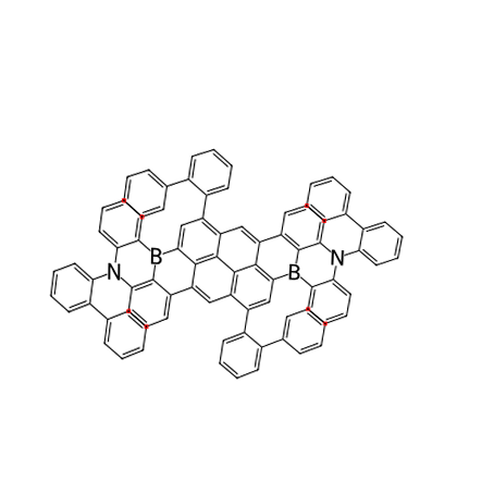 c1ccc(-c2ccccc2-c2cc3c4c(cc5c(-c6ccccc6-c6ccccc6)cc6c7c(cc2c4c57)-c2cccc4c2B6c2ccccc2N4c2ccccc2-c2ccccc2)-c2cccc4c2B3c2ccccc2N4c2ccccc2-c2ccccc2)cc1